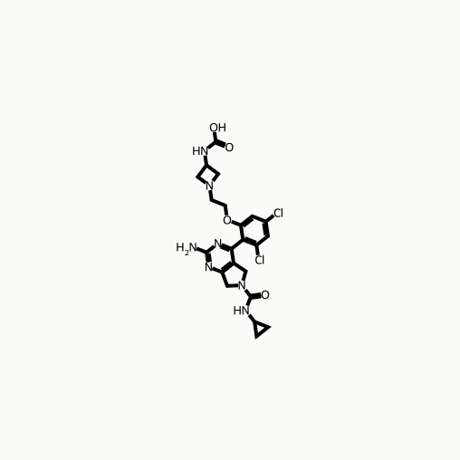 Nc1nc2c(c(-c3c(Cl)cc(Cl)cc3OCCN3CC(NC(=O)O)C3)n1)CN(C(=O)NC1CC1)C2